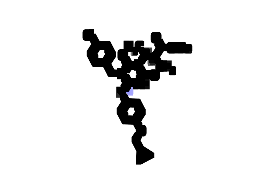 COC(=O)[C@@H](C)[C@@H](C)n1c(=O)[nH]/c(=N\c2ccc(OCC3CC3)cc2)n(Cc2ccc(Cl)cc2)c1=O